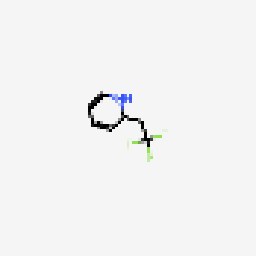 FC(F)(F)CC1C=CC=CN1